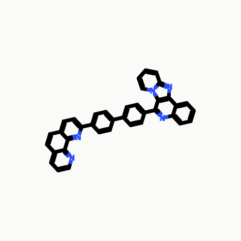 c1cnc2c(c1)ccc1ccc(-c3ccc(-c4ccc(-c5nc6ccccc6c6nc7ccccn7c56)cc4)cc3)nc12